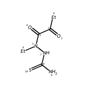 CCC(=O)C(=O)N(CC)NC(N)=S